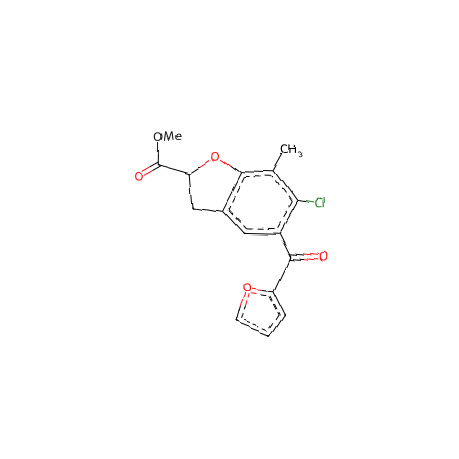 COC(=O)C1Cc2cc(C(=O)c3ccco3)c(Cl)c(C)c2O1